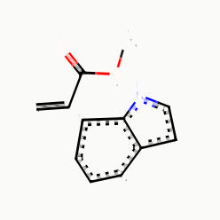 C=CC(=O)OC#N.c1ccc2[nH]ccc2c1